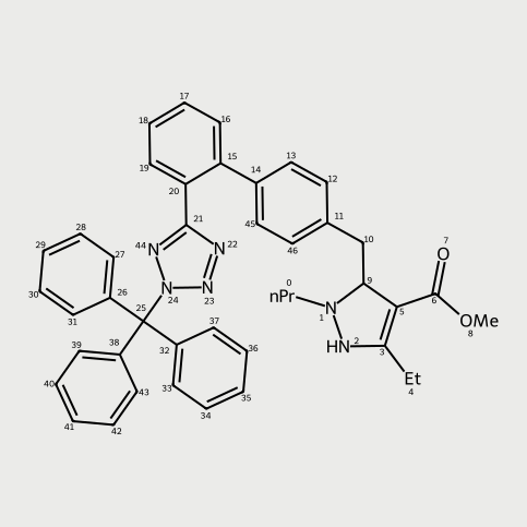 CCCN1NC(CC)=C(C(=O)OC)C1Cc1ccc(-c2ccccc2-c2nnn(C(c3ccccc3)(c3ccccc3)c3ccccc3)n2)cc1